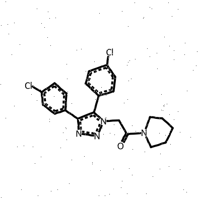 O=C(Cn1nnc(-c2ccc(Cl)cc2)c1-c1ccc(Cl)cc1)N1CCCCC1